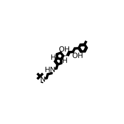 Cc1cccc(C[C@@H](O)/C=C/[C@@H]2[C@H]3CC(CNCCCN(C)C(C)(C)C)=C[C@H]3C[C@H]2O)c1